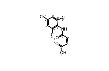 O=C(O)/C=C\C(=O)Nc1c(Cl)cc(Cl)cc1Cl